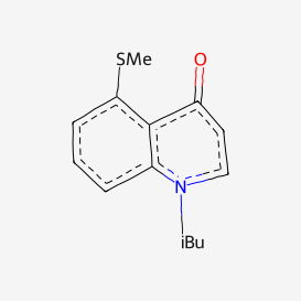 CCC(C)n1ccc(=O)c2c(SC)cccc21